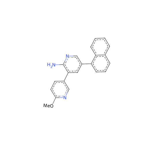 COc1ccc(-c2cc(-c3cccc4ccccc34)cnc2N)cn1